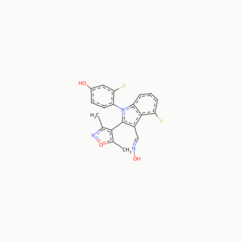 Cc1noc(C)c1-c1c(C=NO)c2c(F)cccc2n1-c1ccc(O)cc1F